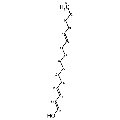 CCCCC=CCCCCCCC=CC=CO